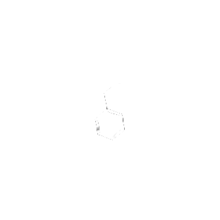 [Hg][CH2]c1ccccc1